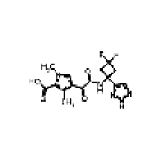 Cc1c(C(=O)C(=O)NC2(c3cn[nH]n3)CC(F)(F)C2)cn(C)c1C(=O)O